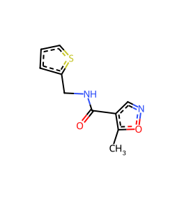 Cc1oncc1C(=O)NCc1cccs1